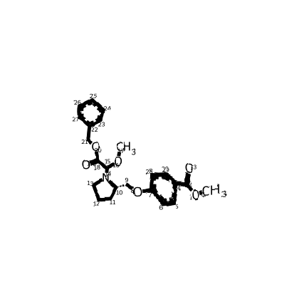 COC(=O)c1ccc(OC[C@@H]2CCCN2C(OC)C(=O)OCc2ccccc2)cc1